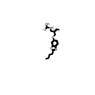 CCCCc1nc2ccc(OC/C(=C\F)CNC(=O)O)cc2o1